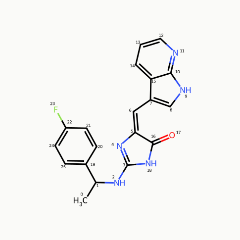 CC(NC1=NC(=Cc2c[nH]c3ncccc23)C(=O)N1)c1ccc(F)cc1